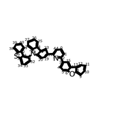 c1cc(-c2ccc3oc4ccccc4c3c2)nc(-c2ccc3c(c2)c2ccccc2n3-c2cccc3sc4ccccc4c23)c1